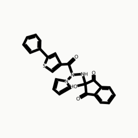 O=C(c1csc(-c2ccccc2)c1)N(NC1(O)C(=O)c2ccccc2C1=O)n1cccc1